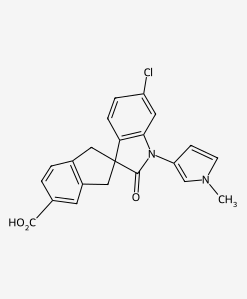 Cn1ccc(N2C(=O)C3(Cc4ccc(C(=O)O)cc4C3)c3ccc(Cl)cc32)c1